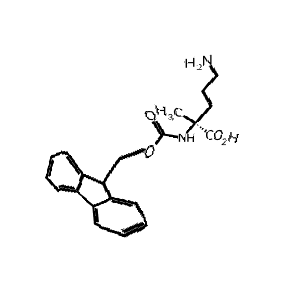 C[C@@](CCCN)(NC(=O)OCC1c2ccccc2-c2ccccc21)C(=O)O